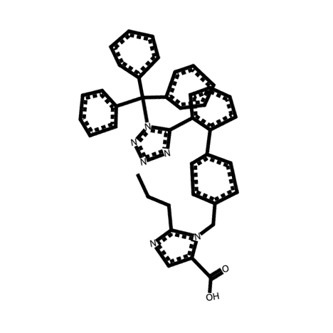 CCCc1ncc(C(=O)O)n1Cc1ccc(-c2ccccc2-c2nnnn2C(c2ccccc2)(c2ccccc2)c2ccccc2)cc1